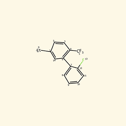 C[CH]c1ccc(C(F)(F)F)c(-c2ccccc2F)c1